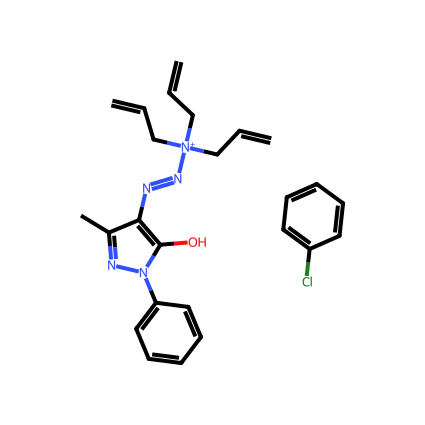 C=CC[N+](CC=C)(CC=C)N=Nc1c(C)nn(-c2ccccc2)c1O.Clc1ccccc1